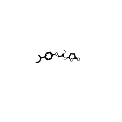 CCC(C)c1ccc(OCC(=O)OC2CCC(=O)O2)cc1